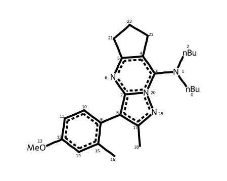 CCCCN(CCCC)c1c2c(nc3c(-c4ccc(OC)cc4C)c(C)nn13)CCC2